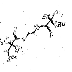 CCCCC(C)(CC)C(=O)NCCOC(=O)C(C)(C)CC(C)(C)C